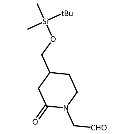 CC(C)(C)[Si](C)(C)OCC1CCN(CC=O)C(=O)C1